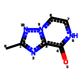 Cc1nc2c(=O)[nH]ccn2n1